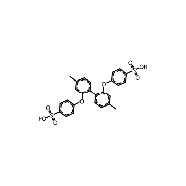 Cc1ccc(-c2ccc(C)cc2Oc2ccc(S(=O)(=O)O)cc2)c(Oc2ccc(S(=O)(=O)O)cc2)c1